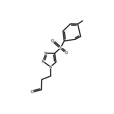 Cc1ccc(S(=O)(=O)c2cn(CCC=O)nn2)cc1